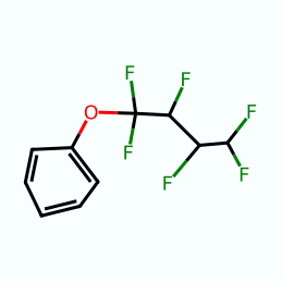 FC(F)C(F)C(F)C(F)(F)Oc1ccccc1